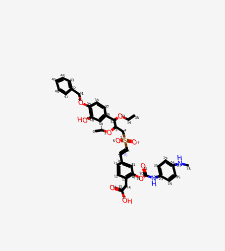 CCOC(CS(=O)(=O)/C=C/c1ccc(CC(=O)O)c(OC(=O)Nc2ccc(NC)cc2)c1)C(OCC)c1ccc(OCc2ccccc2)c(O)c1